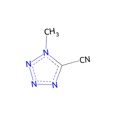 Cn1nnnc1C#N